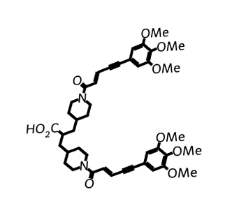 COc1cc(C#CC=CC(=O)N2CCC(CC(CC3CCN(C(=O)C=CC#Cc4cc(OC)c(OC)c(OC)c4)CC3)C(=O)O)CC2)cc(OC)c1OC